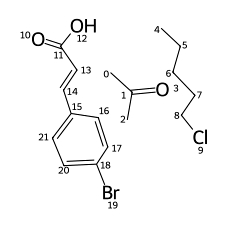 CC(C)=O.CCCCCCl.O=C(O)C=Cc1ccc(Br)cc1